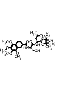 COc1c2c(c(OC)c(OC)c1OC)CC(C(=O)N[C@@H](CO)C(=O)N[C@@H](CC(C)C)B1OC(C)(C)C(C)(C)O1)CC2